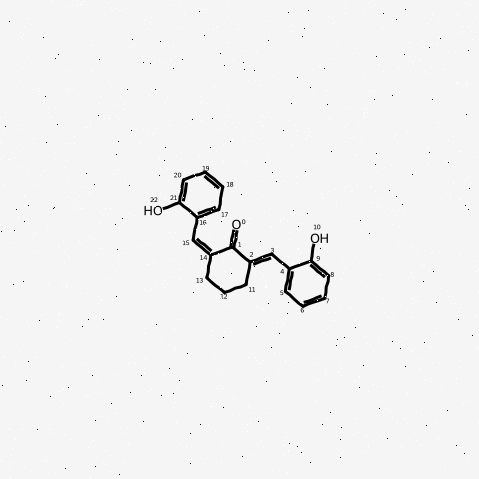 O=C1C(=Cc2ccccc2O)CCCC1=Cc1ccccc1O